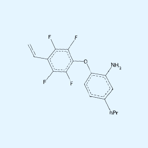 C=Cc1c(F)c(F)c(Oc2ccc(CCC)cc2N)c(F)c1F